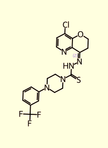 FC(F)(F)c1cccc(N2CCN(C(=S)N/N=C3/CCOc4c(Cl)ccnc43)CC2)c1